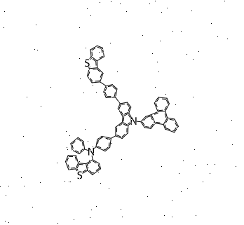 c1ccc(N(c2ccc(-c3ccc4c(c3)c3cc(-c5ccc(-c6ccc7sc8ccccc8c7c6)cc5)ccc3n4-c3ccc4c5ccccc5c5ccccc5c4c3)cc2)c2cccc3sc4ccccc4c23)cc1